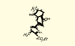 CCOC(=O)c1sc(-c2cc(O)c3ccc(C)c(F)c3c2)nc1C